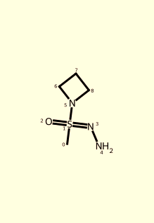 CS(=O)(=NN)N1CCC1